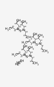 C=CCN(CC=C)SN(CC=C)CC=C.C=CCN(CC=C)SN(CC=C)CC=C.C=CCN(CC=C)SN(CC=C)CC=C.F.F.F